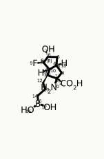 N[C@@]1(C(=O)O)C[C@H]2C[C@@H](O)[C@H](F)[C@H]2[C@@H]1CCCB(O)O